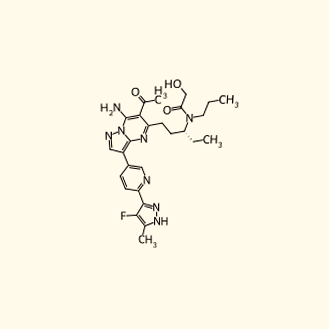 CCCN(C(=O)CO)[C@H](CC)CCc1nc2c(-c3ccc(-c4n[nH]c(C)c4F)nc3)cnn2c(N)c1C(C)=O